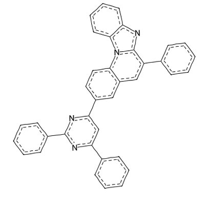 c1ccc(-c2cc(-c3ccc4c(c3)cc(-c3ccccc3)c3nc5ccccc5n34)nc(-c3ccccc3)n2)cc1